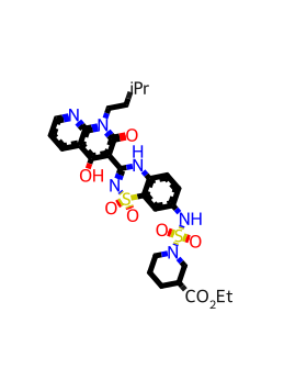 CCOC(=O)C1CCCN(S(=O)(=O)Nc2ccc3c(c2)S(=O)(=O)N=C(c2c(O)c4cccnc4n(CCC(C)C)c2=O)N3)C1